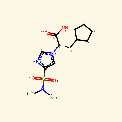 CN(C)S(=O)(=O)c1cn([C@@H](CC2CCCC2)C(=O)O)cn1